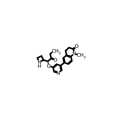 CCC(=O)[C@@H](Oc1cncc(-c2ccc3c(c2)CCC(=O)N3C)c1)C1CCN1